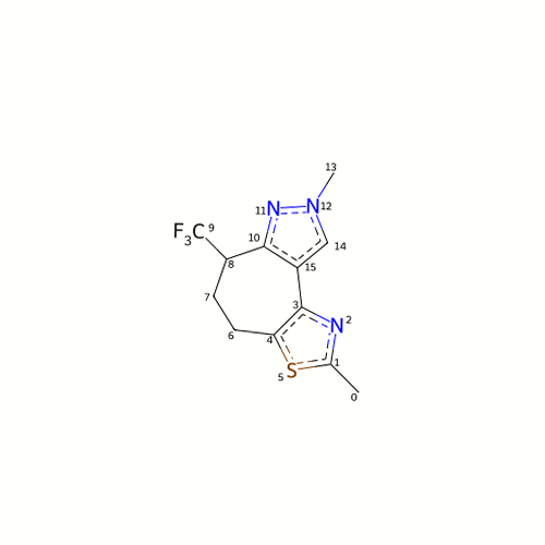 Cc1nc2c(s1)CCC(C(F)(F)F)c1nn(C)cc1-2